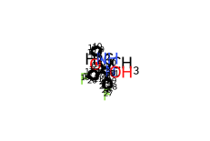 CC(C)c1c(C(=O)Nc2ccccc2)c(-c2ccc(F)cc2)c(-c2ccc(F)cc2)n1O